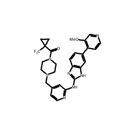 COc1cnccc1-c1ccc2nc(Nc3cc(CN4CCN(C(=O)C5(C(F)(F)F)CC5)CC4)ccn3)[nH]c2c1